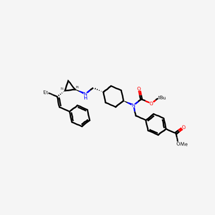 CCC(=Cc1ccccc1)[C@@H]1C[C@H]1NC[C@H]1CC[C@H](N(Cc2ccc(C(=O)OC)cc2)C(=O)OC(C)(C)C)CC1